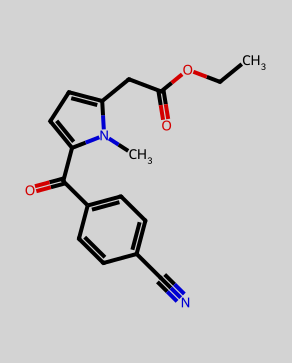 CCOC(=O)Cc1ccc(C(=O)c2ccc(C#N)cc2)n1C